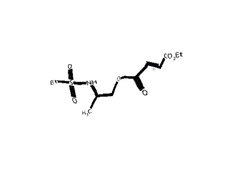 CCOC(=O)/C=C/C(=O)OCC(C)NS(=O)(=O)CC